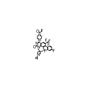 C=CC(=O)N1[C@H](C)CN(c2nc(=O)n3c4c(c(-c5ccc(F)cc5F)c(C(F)(F)F)cc24)SCC2(CN(C4CC4)C2)C3)C[C@@H]1C